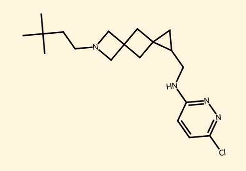 CC(C)(C)CCN1CC2(C1)CC1(CC1CNc1ccc(Cl)nn1)C2